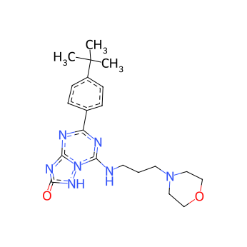 CC(C)(C)c1ccc(-c2nc(NCCCN3CCOCC3)n3[nH]c(=O)nc3n2)cc1